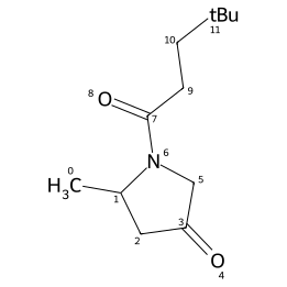 CC1CC(=O)CN1C(=O)CCC(C)(C)C